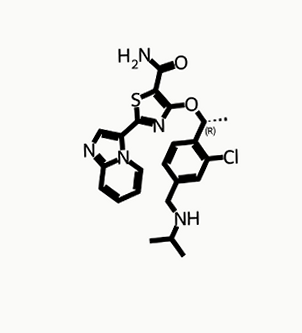 CC(C)NCc1ccc([C@@H](C)Oc2nc(-c3cnc4ccccn34)sc2C(N)=O)c(Cl)c1